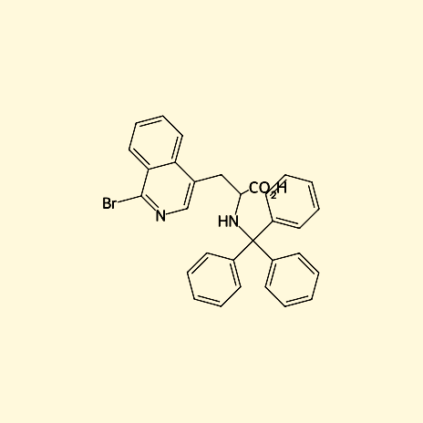 O=C(O)C(Cc1cnc(Br)c2ccccc12)NC(c1ccccc1)(c1ccccc1)c1ccccc1